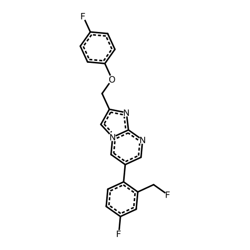 FCc1cc(F)ccc1-c1cnc2nc(COc3ccc(F)cc3)cn2c1